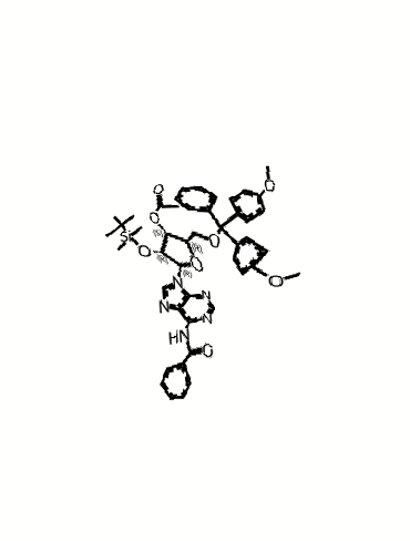 COc1ccc(C(OC[C@H]2O[C@@H](n3cnc4c(NC(=O)c5ccccc5)ncnc43)[C@H](O[Si](C)(C)C(C)(C)C)[C@H]2OC(C)=O)(c2ccccc2)c2ccc(OC)cc2)cc1